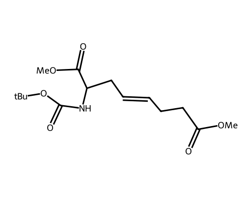 COC(=O)CCC=CCC(NC(=O)OC(C)(C)C)C(=O)OC